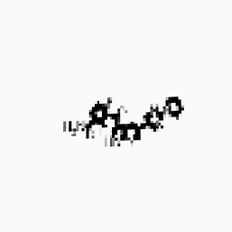 NC(=O)c1ccc(F)c(C(=O)c2c[nH]c3ncc(-c4cnc(N5CCCC5)nc4)cc23)c1F